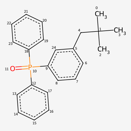 CC(C)(C)Cc1cccc(P(=O)(c2ccccc2)c2ccccc2)c1